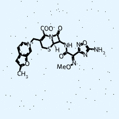 CO/N=C(\C(=O)NC1C(=O)N2C(C(=O)[O-])=C(C[n+]3ccc4cc(C)oc4c3)CS[C@H]12)c1noc(N)n1